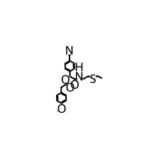 CCSCCNC(=O)C(OC(=O)Cc1ccc(OC)cc1)c1ccc(C#N)cc1